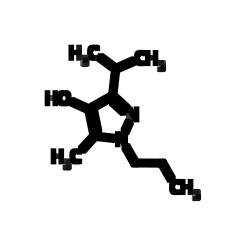 CCCn1nc(C(C)C)c(O)c1C